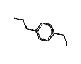 CCCc1ccc(CI)cc1